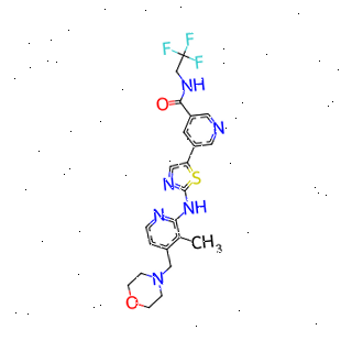 Cc1c(CN2CCOCC2)ccnc1Nc1ncc(-c2cncc(C(=O)NCC(F)(F)F)c2)s1